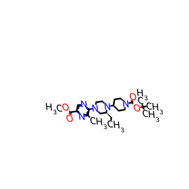 CC[C@H]1CN(c2ncc(C(=O)OC)nc2C)CCN1C1CCN(C(=O)OC(C)(C)C)CC1